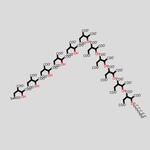 O=C([O-])CC(C(=O)[O-])C(O)C(=O)[O-].O=C([O-])CC(C(=O)[O-])C(O)C(=O)[O-].O=C([O-])CC(C(=O)[O-])C(O)C(=O)[O-].O=C([O-])CC(C(=O)[O-])C(O)C(=O)[O-].O=C([O-])CC(C(=O)[O-])C(O)C(=O)[O-].O=C([O-])CC(C(=O)[O-])C(O)C(=O)[O-].O=C([O-])CC(C(=O)[O-])C(O)C(=O)[O-].O=C([O-])CC(C(=O)[O-])C(O)C(=O)[O-].O=C([O-])CC(C(=O)[O-])C(O)C(=O)[O-].O=C([O-])CC(C(=O)[O-])C(O)C(=O)[O-].O=C([O-])CC(C(=O)[O-])C(O)C(=O)[O-].[Sn+4].[Sn+4].[Sn+4].[Tc+7].[Tc+7].[Tc+7]